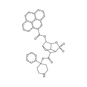 O=C(OC1C2CC3C1OS(=O)(=O)C3C2C(=O)OC1(c2ccccc2)CCNCC1)c1cc2cccc3ccc4cccc1c4c32